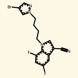 N#Cc1cn(CCCCn2cc(Br)cn2)c2c(F)cc(F)cc12